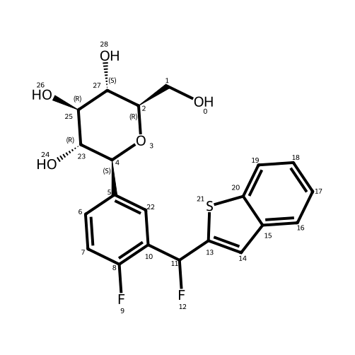 OC[C@H]1O[C@@H](c2ccc(F)c(C(F)c3cc4ccccc4s3)c2)[C@H](O)[C@@H](O)[C@@H]1O